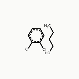 CCCCO.Clc1ccccc1Cl